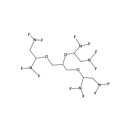 FN(F)CC(OCC(COC(CN(F)F)N(F)F)OC(CN(F)F)N(F)F)N(F)F